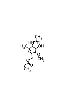 C=CC(=O)OCC1OC(C)[C@@H](NC(C)=O)[C@@H](O)[C@@H]1OC